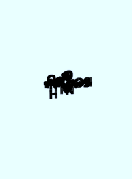 C=C(C)C(=O)Nc1cccc(-c2ncnc3c2c(C2CCCO2)cn3COCC[Si](C)(C)C)c1